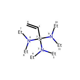 C=C[Si](N(CC)CC)(N(CC)CC)N(CC)CC